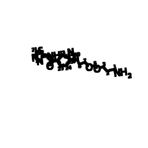 NCCCOCOCCn1cnc2cc(C(=O)Nc3nncs3)ccc21